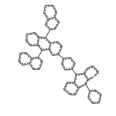 c1ccc(-c2c3ccccc3c(-c3ccc(-c4ccc5c(-c6ccc7ccccc7c6)c6cnccc6c(-c6cccc7ccccc67)c5c4)cc3)c3ccccc23)cc1